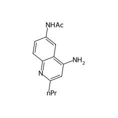 CCCc1cc(N)c2cc(NC(C)=O)ccc2n1